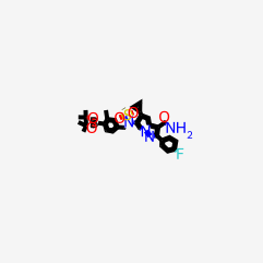 Cc1cc(CN(c2cn3nc(-c4ccc(F)cc4)c(C(N)=O)c3cc2C2CC2)S(C)(=O)=O)ccc1B1OC(C)(C)C(C)(C)O1